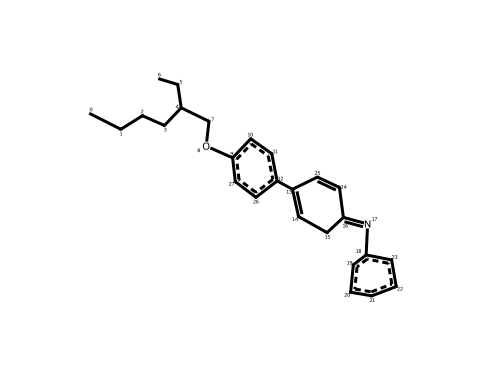 CCCCC(CC)COc1ccc(C2=CCC(=Nc3ccccc3)C=C2)cc1